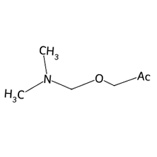 CC(=O)COCN(C)C